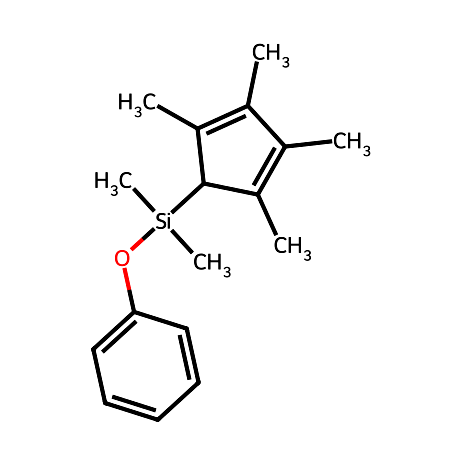 CC1=C(C)C([Si](C)(C)Oc2ccccc2)C(C)=C1C